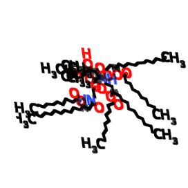 CCCCCCCCCCC[C@H](CC(=O)NCCO[C@@H]1O[C@H](CO[Si](C)(C)C(C)(C)C)[C@@H](O)[C@H](OC(=O)C[C@@H](CCCCCCCCCCC)OC(=O)CCCCCCCCC)[C@H]1NC(=O)C[C@@H](CCCCCCCCCCC)OC(=O)CCCCCCCCC)OC(=O)CCCCCCCCC